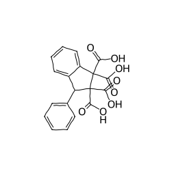 O=C(O)C1(C(=O)O)c2ccccc2C(c2ccccc2)C1(C(=O)O)C(=O)O